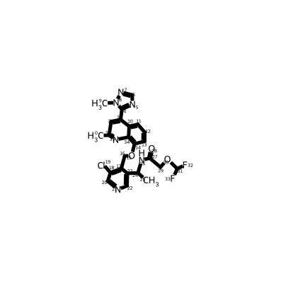 Cc1cc(-c2ncnn2C)c2cccc(OCc3c(Cl)cncc3C(C)NC(=O)COC(F)F)c2n1